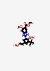 CCOC(=O)c1cc2nn(-c3cc(CCO)cc(C(C)(C)C)c3O)nc2cc1OC